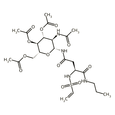 C=CS(=O)(=O)N[C@@H](CC(=O)N[C@@H]1O[C@H](COC(C)=O)[C@@H](OC(C)=O)[C@H](OC(C)=O)[C@H]1NC(C)=O)C(=O)NCCC